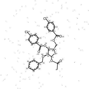 CC(=O)OC1S[C@H](COC(=O)c2ccc(Cl)cc2)[C@H](OC(=O)c2ccc(Cl)cc2)[C@@H]1OCc1ccccc1